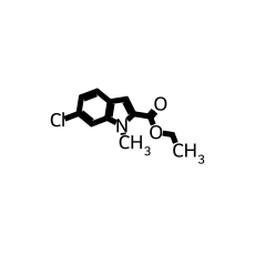 CCOC(=O)c1cc2ccc(Cl)cc2n1C